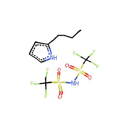 CCCc1ccc[nH]1.O=S(=O)(NS(=O)(=O)C(F)(F)F)C(F)(F)F